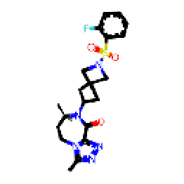 Cc1nnc2n1CC[C@@H](C)N(C1CC3(C1)CN(S(=O)(=O)c1ccccc1F)C3)C2=O